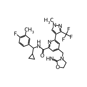 Cc1cc(C(NC(=O)c2cc(CN3CCOC3=N)cc(-c3cn(C)nc3C(F)(F)F)n2)C2CC2)ccc1F